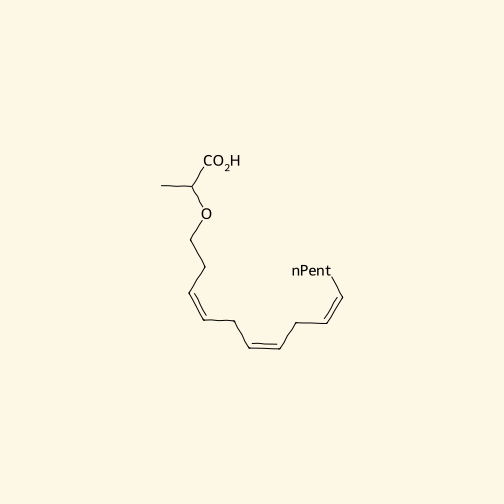 CCCCC/C=C\C/C=C\C/C=C\CCOC(C)C(=O)O